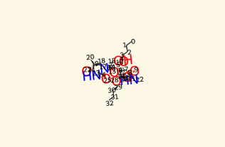 CCCCOC[C@@](CS(=O)(=O)NC)(O[C@H](CO)n1cc(C)c(=O)[nH]c1=O)[C@@H](C)OCCCC